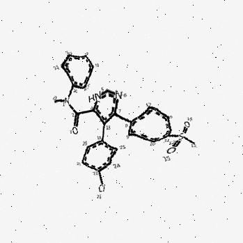 CN(C(=O)c1[nH]nc(-c2ccc(S(C)(=O)=O)cc2)c1-c1ccc(Cl)cc1)c1ccccc1